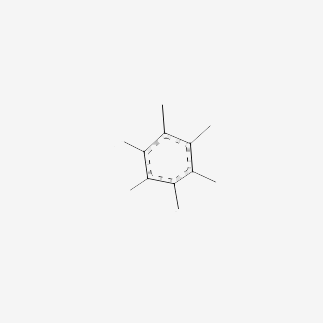 [2H]c1c(C)c(B)c(C)c(C)c1C